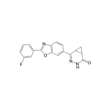 O=C1NN=C(c2ccc3nc(-c4cccc(F)c4)oc3c2)C2CC12